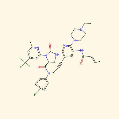 CC=CC(=O)Nc1cc(C#CCN(C(=O)[C@@H]2CNC(=O)N2c2cc(C(F)(F)F)cc(C)n2)c2ccc(F)cc2)cnc1N1CCN(CC)CC1